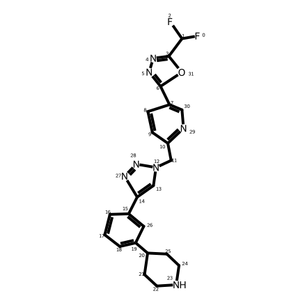 FC(F)c1nnc(-c2ccc(Cn3cc(-c4cccc(C5CCNCC5)c4)nn3)nc2)o1